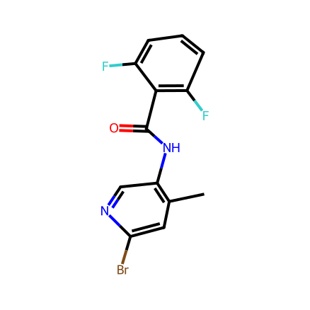 Cc1cc(Br)ncc1NC(=O)c1c(F)cccc1F